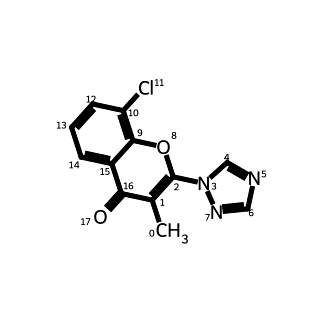 Cc1c(-n2cncn2)oc2c(Cl)cccc2c1=O